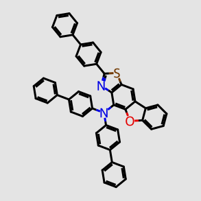 c1ccc(-c2ccc(-c3nc4c(N(c5ccc(-c6ccccc6)cc5)c5ccc(-c6ccccc6)cc5)c5oc6ccccc6c5cc4s3)cc2)cc1